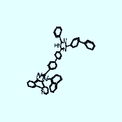 c1ccc(-c2ccc(C3=NC(c4ccccc4)NC(c4ccc(-c5ccc(-c6nc7c8ccccc8c8ncccc8c7n6-c6cccc7ccccc67)cc5)cc4)=N3)cc2)cc1